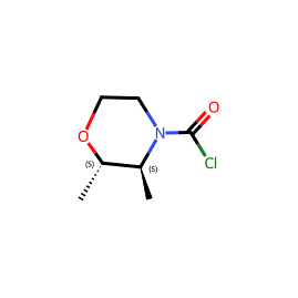 C[C@@H]1OCCN(C(=O)Cl)[C@H]1C